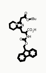 CC(C)(C)OC(=O)Cc1nc(CC(NC(=O)OCC2c3ccccc3-c3ccccc32)C(=O)O)c2n1CCCC2